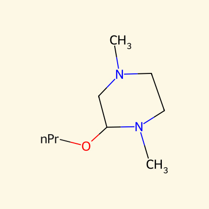 CCCOC1CN(C)CCN1C